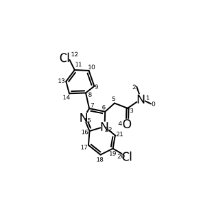 CN(C)C(=O)Cc1c(-c2ccc(Cl)cc2)nc2ccc(Cl)cn12